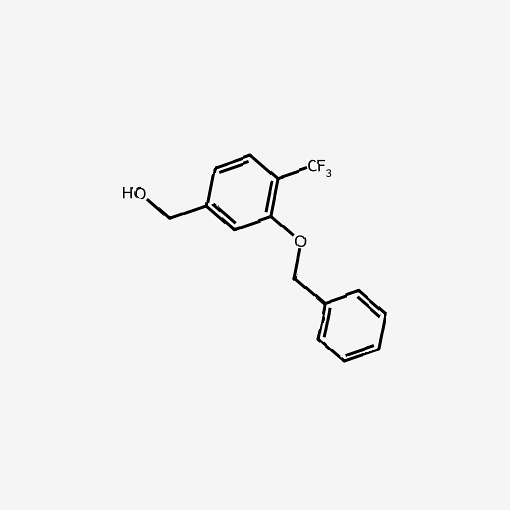 OCc1ccc(C(F)(F)F)c(OCc2ccccc2)c1